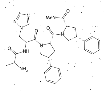 CNC(=O)[C@@H]1C[C@H](c2ccccc2)CN1C(=O)[C@@H]1C[C@H](c2ccccc2)CN1C(=O)C(Cn1cncn1)NC(=O)C(C)N